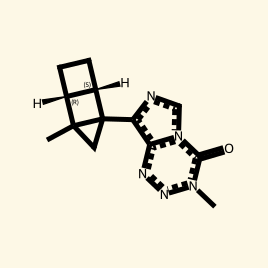 Cn1nnc2c(C34CC3(C)[C@@H]3CC[C@@H]34)ncn2c1=O